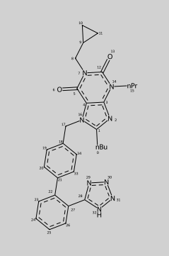 CCCCc1nc2c(c(=O)n(CC3CC3)c(=O)n2CCC)n1Cc1ccc(-c2ccccc2-c2nnn[nH]2)cc1